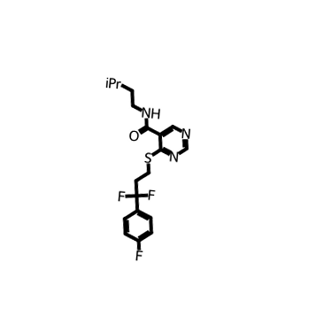 CC(C)CCNC(=O)c1cncnc1SCCC(F)(F)c1ccc(F)cc1